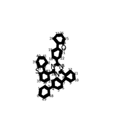 c1ccc(-c2ccc(-c3ccccc3-c3nc(-c4ccc5c(c4)oc4ccccc45)nc(-c4cccc5sc6ccccc6c45)n3)cc2)cc1